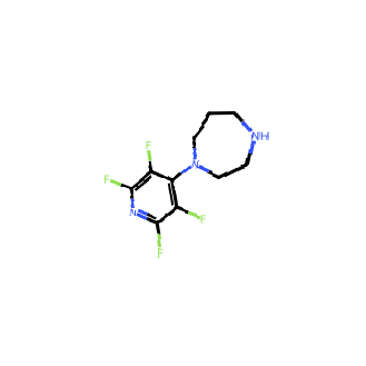 Fc1nc(F)c(F)c(N2CCCNCC2)c1F